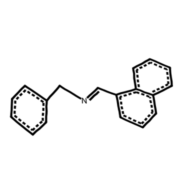 C(=NCc1ccccc1)c1cccc2ccccc12